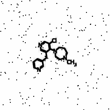 CN1CCCN(c2c(Cl)cncc2Cc2cccnc2)CC1